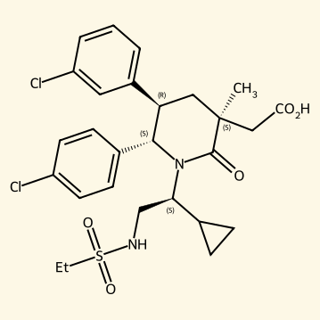 CCS(=O)(=O)NC[C@H](C1CC1)N1C(=O)[C@](C)(CC(=O)O)C[C@H](c2cccc(Cl)c2)[C@H]1c1ccc(Cl)cc1